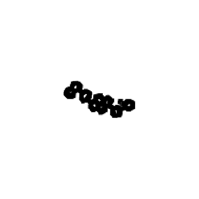 c1ccc2c(-c3ccc(-c4ccc5ccc6c(-c7cccc8c7sc7ccccc78)ccc7ccc4c5c76)cc3)cccc2c1